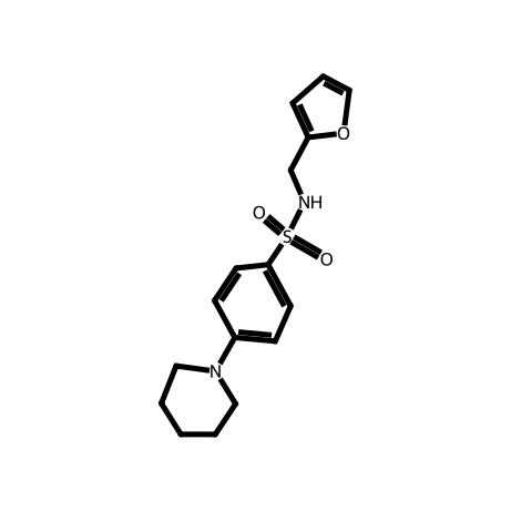 O=S(=O)(NCc1ccco1)c1ccc(N2CCCCC2)cc1